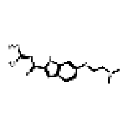 CNC(N)=NC(=O)c1cc2ccc(OCCN(C)C)cc2[nH]1